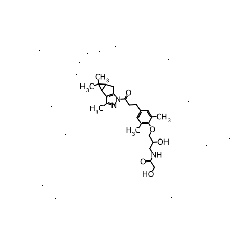 Cc1cc(CCC(=O)n2nc(C)c3c2CC2C3C2(C)C)cc(C)c1OCC(O)CNC(=O)CO